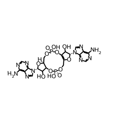 Nc1ncnc2c1ncn2[C@@H]1OC2=C(OP(=O)(O)OC[C@@H]3O[C@@H](n4cnc5c(N)ncnc54)C(O)C3OP(=O)(O)OC2)C1O